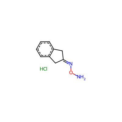 Cl.NON=C1Cc2ccccc2C1